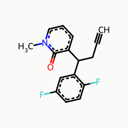 C#CCC(c1cc(F)ccc1F)c1cccn(C)c1=O